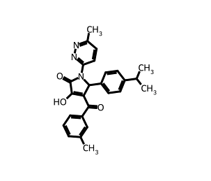 Cc1cccc(C(=O)C2=C(O)C(=O)N(c3ccc(C)nn3)C2c2ccc(C(C)C)cc2)c1